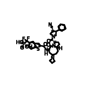 N#C[C@H]1CN(C(=O)[C@@H]2CC[C@@H]3CC[C@@H](N4CCC4)C[C@H](NC(=O)c4cc5cc(C(F)(F)P(=O)(O)O)ccc5s4)C(=O)N32)CC1c1ccccc1